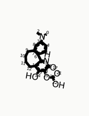 CN(C)c1ccc2c(c1)CCCCc1c-2[nH]c(=O)c(OC(=O)O)c1O